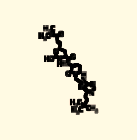 CN(C)C(=O)/C=C/CCC(NC(=O)O)C(=O)Nc1cccn(Cc2nc3c(CCC(C)(C)C)ncnc3[nH]2)c1=O